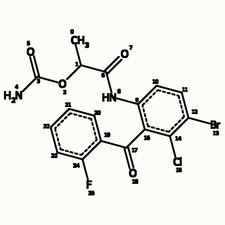 CC(OC(N)=O)C(=O)Nc1ccc(Br)c(Cl)c1C(=O)c1ccccc1F